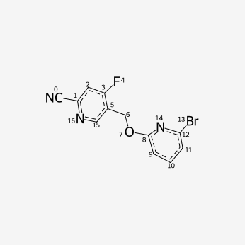 N#Cc1cc(F)c(COc2cccc(Br)n2)cn1